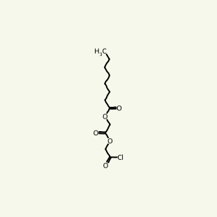 CCCCCCCC(=O)OCC(=O)OCC(=O)Cl